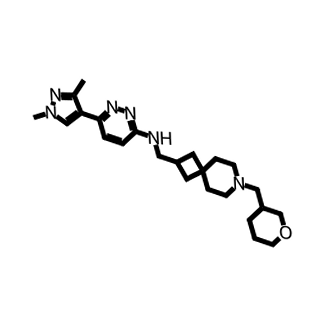 Cc1nn(C)cc1-c1ccc(NCC2CC3(CCN(CC4CCCOC4)CC3)C2)nn1